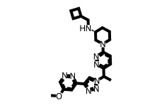 COc1cnnc(-c2cn(C(C)c3ccc(N4CCC[C@@H](NCC5CCC5)C4)nn3)nn2)c1